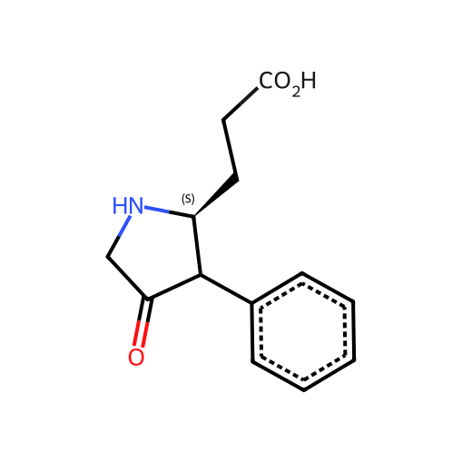 O=C(O)CC[C@@H]1NCC(=O)C1c1ccccc1